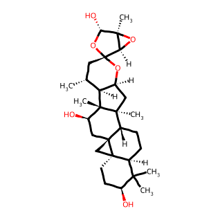 C[C@@H]1C[C@@]2(O[C@H]3C[C@@]4(C)[C@@H]5CC[C@H]6C(C)(C)[C@@H](O)CC[C@@]67C[C@@]57C[C@@H](O)[C@]4(C)[C@@H]13)O[C@H](O)[C@@]1(C)O[C@@H]21